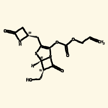 C=CCOC(=O)OC1=C(C[C@H]2CC(=O)N2)S[C@@H]2[C@@H](CO)C(=O)N12